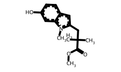 COC(=O)C(C)(C)Cc1cc2ccc(O)cc2n1C